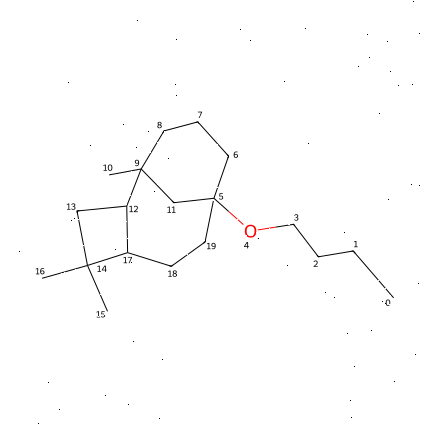 CCCCOC12CCCC(C)(C1)C1CC(C)(C)C1CC2